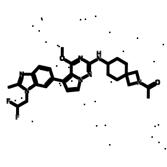 COc1nc(NC2CCC3(CC2)CN(C(C)=O)C3)nn2ccc(-c3ccc4nc(C)n(CC(F)F)c4c3)c12